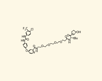 CC(C)(C)[C@@H](NC(=O)CCOCCOCCOCCOCCNC(=O)c1cc(Oc2ccc(NC(=O)Nc3ccc(Cl)c(C(F)(F)F)c3)cc2)ccn1)C(=O)N1CC[C@@H](O)C1